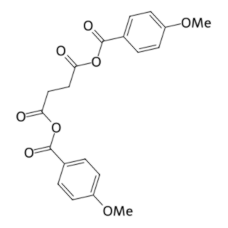 COc1ccc(C(=O)OC(=O)CCC(=O)OC(=O)c2ccc(OC)cc2)cc1